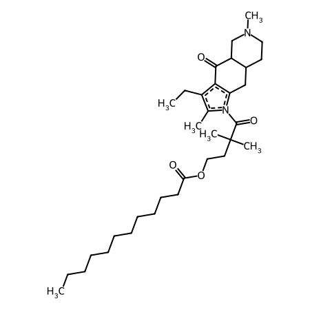 CCCCCCCCCCCC(=O)OCCC(C)(C)C(=O)n1c(C)c(CC)c2c1CC1CCN(C)CC1C2=O